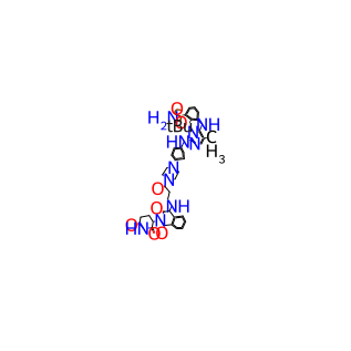 Cc1cnc(Nc2ccc(N3CCN(C(=O)CCNC4C(=O)N(C5CCC(=O)NC5=O)C(=O)c5ccccc54)CC3)cc2)nc1Nc1cccc(S(N)(=O)=O)c1C(C)(C)C